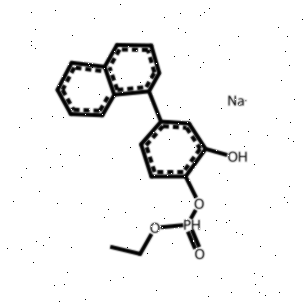 CCO[PH](=O)Oc1ccc(-c2cccc3ccccc23)cc1O.[Na]